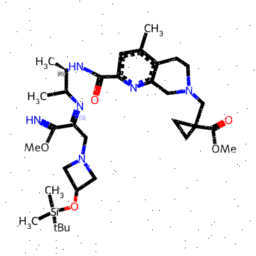 COC(=N)/C(CN1CC(O[Si](C)(C)C(C)(C)C)C1)=N\C(C)[C@@H](C)NC(=O)c1cc(C)c2c(n1)CN(CC1(C(=O)OC)CC1)CC2